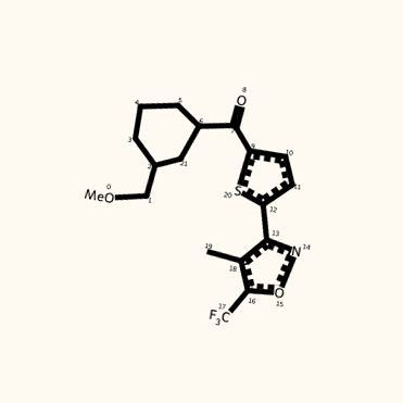 COCC1CCCC(C(=O)c2ccc(-c3noc(C(F)(F)F)c3C)s2)C1